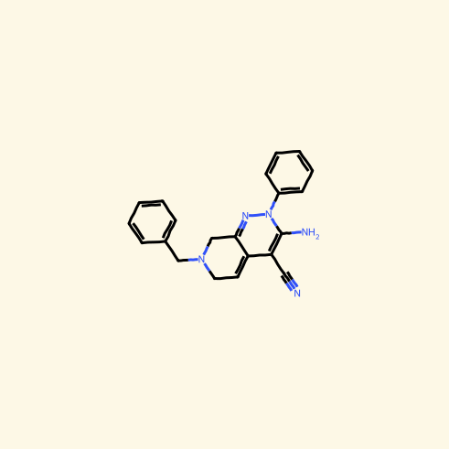 N#CC1=C(N)N(c2ccccc2)N=C2CN(Cc3ccccc3)CC=C21